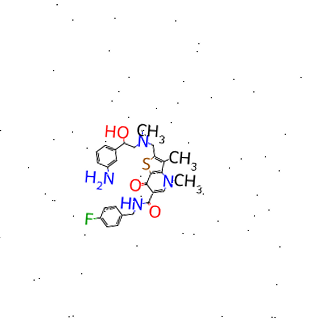 Cc1c(CN(C)CC(O)c2cccc(N)c2)sc2c(=O)c(C(=O)NCc3ccc(F)cc3)cn(C)c12